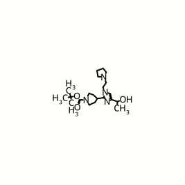 CC(O)c1cn(CCN2CCCC2)c(C2CCN(C(=O)OC(C)(C)C)CC2)n1